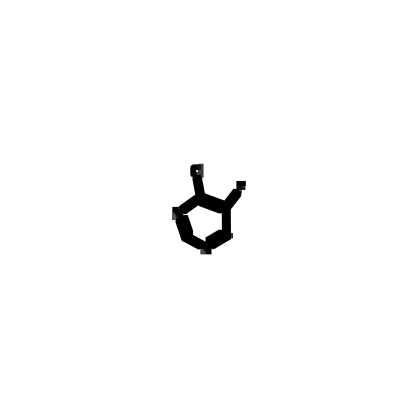 Fc1[c]ncnc1Cl